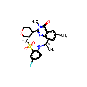 Cc1cc([C@@H](C)Nc2ccc(F)cc2S(C)(=O)=O)c2nc(C3CCOCC3)n(C)c(=O)c2c1